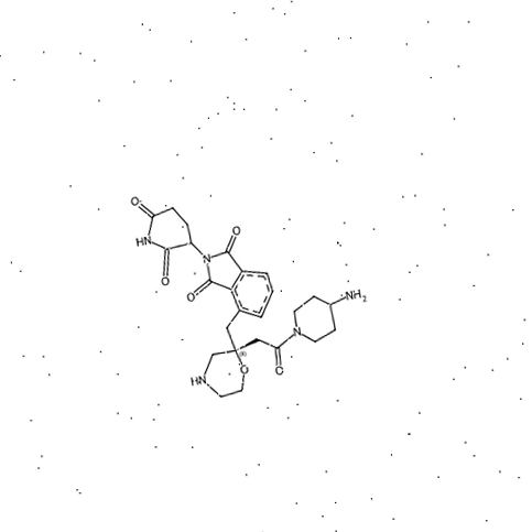 NC1CCN(C(=O)C[C@]2(Cc3cccc4c3C(=O)N(C3CCC(=O)NC3=O)C4=O)CNCCO2)CC1